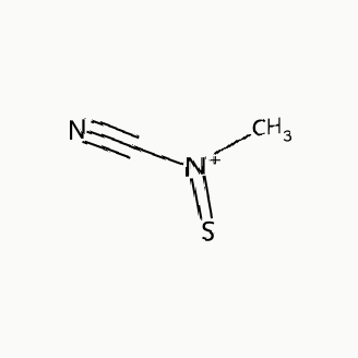 C[N+](=S)C#N